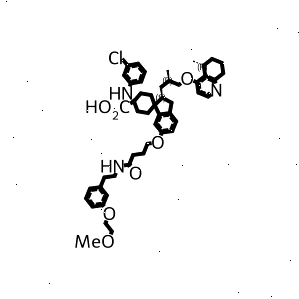 COCCOc1cccc(CCNC(=O)CCCOc2ccc3c(c2)C2(CCC(Nc4cccc(Cl)c4)(C(=O)O)CC2)[C@@H](C[C@@H](C)COc2ccnc4c2[C@H](C)CCC4)C3)c1